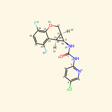 O=C(Nc1ccc(Cl)cn1)N[C@@H]1[C@@H]2COc3c(F)ccc(F)c3[C@@H]21